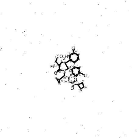 CC[C@]1(CC(=O)O)CC(c2cccc(Cl)c2)[C@@H](c2ccc(Cl)cc2)N([C@H](CNS(=O)(=O)C2CCC2)C2CC2)C1=O